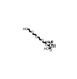 O=P(O)(O)C(OCCOCCOCCOCCO)P(=O)(O)O